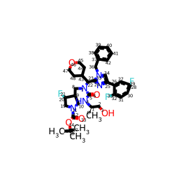 C[C@@H](CO)NC(=O)N(CC1CN(C(=O)OC(C)(C)C)CC1F)C(c1nc(-c2cc(F)ccc2F)cn1Cc1ccccc1)C1CCOCC1